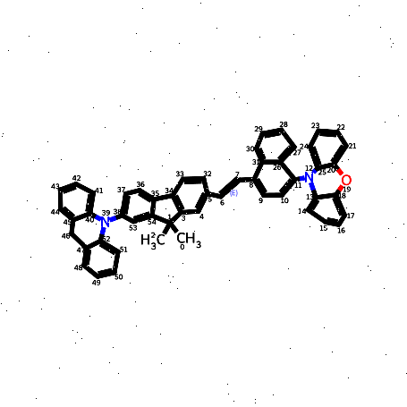 CC1(C)c2cc(/C=C/c3ccc(N4c5ccccc5Oc5ccccc54)c4ccccc34)ccc2-c2ccc(N3c4ccccc4Cc4ccccc43)cc21